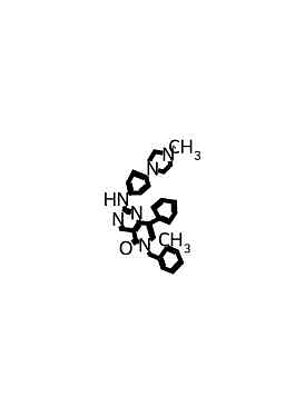 Cc1ccccc1Cn1cc(-c2ccccc2)c2nc(Nc3ccc(N4CCN(C)CC4)cc3)ncc2c1=O